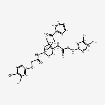 O=C(COc1ccc(Cl)c(F)c1)NC12CCC(NC(=O)COc3ccc(Cl)c(F)c3)(CC1)[C@@H](OC(=O)c1cccnc1)C2